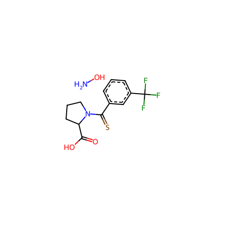 NO.O=C(O)C1CCCN1C(=S)c1cccc(C(F)(F)F)c1